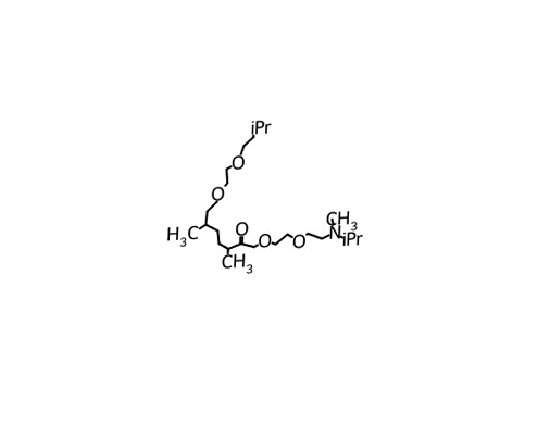 CC(C)CCOCCOCCC(C)CCC(C)C(=O)COCCOCCN(C)C(C)C